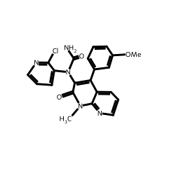 COc1cccc(-c2c(N(C(N)=O)c3cccnc3Cl)c(=O)n(C)c3ncccc23)c1